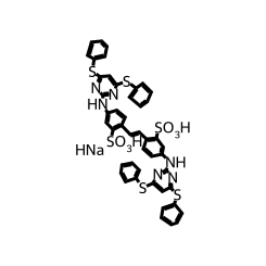 O=S(=O)(O)c1cc(Nc2nc(Sc3ccccc3)cc(Sc3ccccc3)n2)ccc1C=Cc1ccc(Nc2nc(Sc3ccccc3)cc(Sc3ccccc3)n2)cc1S(=O)(=O)O.[NaH]